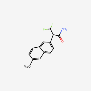 COc1ccc2cc(C(C(N)=O)C(F)F)ccc2c1